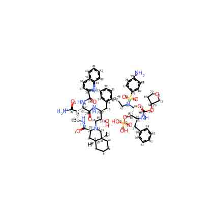 CC(C)(C)NC(=O)[C@@H]1C[C@@H]2CCCC[C@@H]2CN1C[C@@H](O)[C@H](Cc1ccccc1)NC(=O)[C@H](CC(N)=O)NC(=O)c1ccc2ccccc2n1.CC(C)CN(C[C@@H](OP(=O)(O)O)[C@H](Cc1ccccc1)NC(=O)O[C@H]1CCOC1)S(=O)(=O)c1ccc(N)cc1